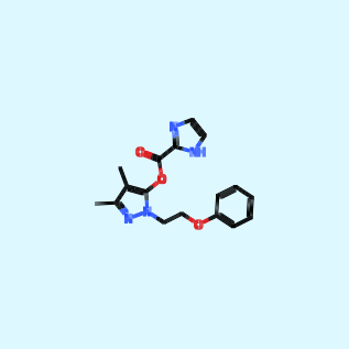 Cc1nn(CCOc2ccccc2)c(OC(=O)c2ncc[nH]2)c1C